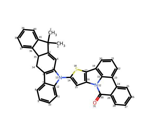 CC1(C)C2=Cc3c(c4ccccc4n3-c3cc4c(s3)c3cccc5c6ccccc6c(=O)n4c53)CC2c2ccccc21